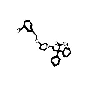 NC(=O)C(CCN1CCC(OCc2cccc(Cl)c2)C1)(c1ccccc1)c1ccccc1